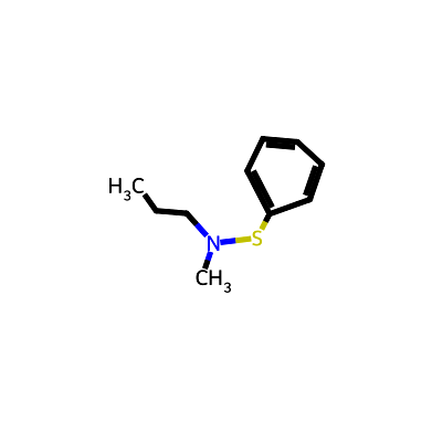 CCCN(C)Sc1ccccc1